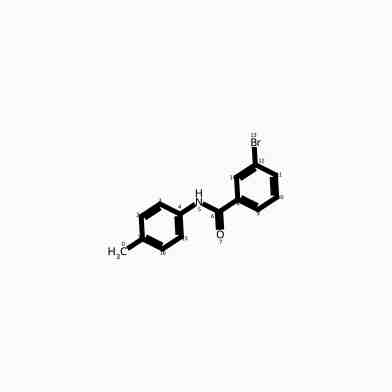 Cc1ccc(NC(=O)c2cccc(Br)c2)cc1